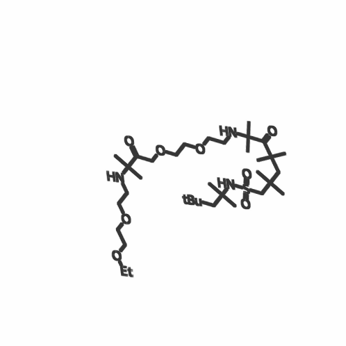 CCOCCOCCNC(C)(C)C(=O)COCCOCCNC(C)(C)C(=O)C(C)(C)CC(C)(C)CS(=O)(=O)NC(C)(C)CC(C)(C)C